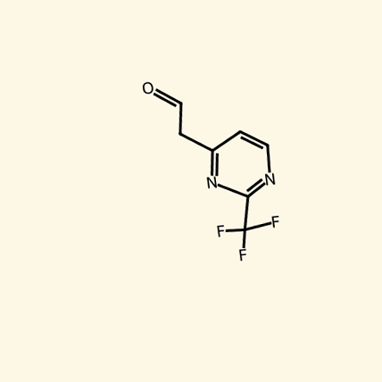 O=CCc1ccnc(C(F)(F)F)n1